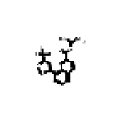 NC(N)=NC(=O)c1ccc2cccc(-c3cc(C(F)(F)F)ncn3)c2c1